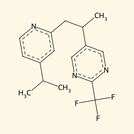 CC(C)c1ccnc(CC(C)c2cnc(C(F)(F)F)nc2)c1